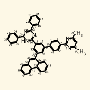 Cc1cc(C)nc(-c2ccc(-c3cc(C4=NC(c5ccccc5)=NC(c5ccccc5)N4)cc(-c4cc5ccccc5c5ccccc45)c3)cc2)n1